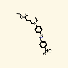 CCOC(=O)CCCN(CC)c1ccc(/N=N/c2ccc([N+](=O)[O-])cc2)cc1